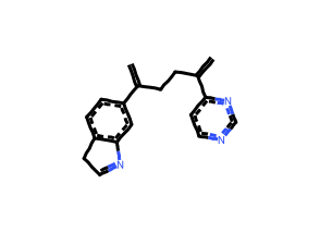 C=C(CCC(=C)c1ccncn1)c1ccc2c(c1)N=CC2